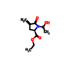 C=C1C[C@H](C(=O)OCC)N(B(C)O)C1=O